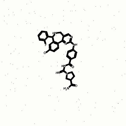 N=C(NC(=O)c1ccc(Nc2ncc3c(n2)-c2ccc(Cl)cc2C(c2ccccc2F)NC3)cc1)N1CCC(C(N)=O)C1